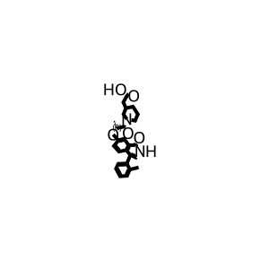 Cc1ccccc1-c1c[nH]c(=O)c2cc(O[C@H](C)C(=O)N3CCCC(CC(=O)O)C3)ccc12